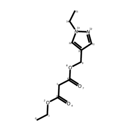 CCOC(=O)CC(=O)OCc1cnn(CC)c1